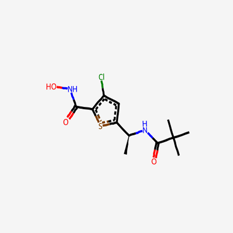 C[C@H](NC(=O)C(C)(C)C)c1cc(Cl)c(C(=O)NO)s1